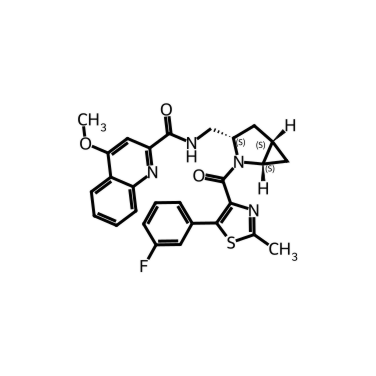 COc1cc(C(=O)NC[C@@H]2C[C@@H]3C[C@@H]3N2C(=O)c2nc(C)sc2-c2cccc(F)c2)nc2ccccc12